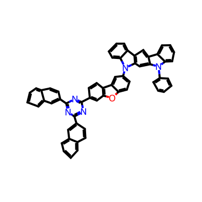 c1ccc(-n2c3ccccc3c3cc4c5ccccc5n(-c5ccc6oc7cc(-c8nc(-c9ccc%10ccccc%10c9)nc(-c9ccc%10ccccc%10c9)n8)ccc7c6c5)c4cc32)cc1